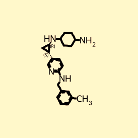 Cc1cccc(CNc2ccc([C@@H]3C[C@H]3NC3CCC(N)CC3)cn2)c1